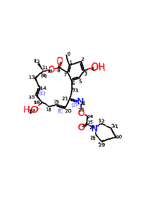 Cc1cc(O)cc2c1C(=O)O[C@H](C)C/C=C/C(O)C/C=C/C(=N\OCC(=O)N1CCCCC1)C2